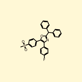 CS(=O)(=O)c1ccc(-c2oc(C(c3ccccc3)c3ccccc3)nc2-c2ccc(F)cc2)cc1